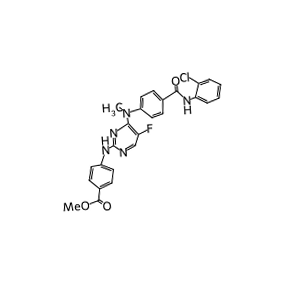 COC(=O)c1ccc(Nc2ncc(F)c(N(C)c3ccc(C(=O)Nc4ccccc4Cl)cc3)n2)cc1